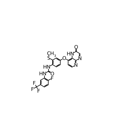 CSc1cc(Oc2ccnc3ncc(=O)[nH]c23)ccc1NC(=O)Nc1cc(C(F)(F)F)ccc1F